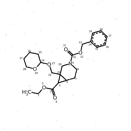 CCOC(=O)C1C2CCN(C(=O)OCc3ccccc3)CC21COC1CCCCO1